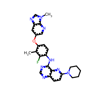 Cc1c(Oc2cnc3c(c2)ncn3C)ccc(Nc2ncnc3ccc(N4CCCCC4)nc23)c1F